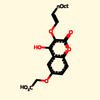 CCCCCCCCC=COc1c(O)c2cc(OCC(=O)O)ccc2oc1=O